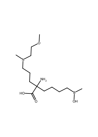 COCCN(C)CCCC(N)(CCCCB(C)O)C(=O)O